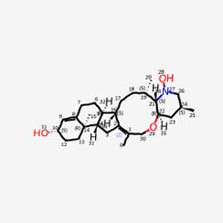 C/C1=C2\C[C@H]3[C@@H](CCC4=C[C@@H](O)CC[C@@]43C)[C@@H]2CC[C@H](C)[C@H]2[C@@H](C[C@H](C)CN2O)OC1